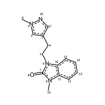 Cn1cc(CCn2c(=O)n(C)c3ccccc32)cn1